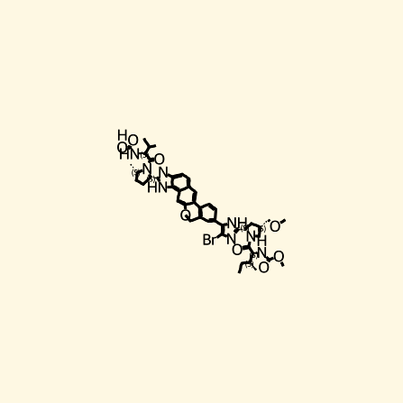 CC[C@H](C)[C@H](NC(=O)OC)C(=O)N1C[C@@H](COC)C[C@H]1c1nc(Br)c(-c2ccc3c(c2)COc2cc4c(ccc5nc([C@@H]6CC[C@H](C)N6C(=O)[C@@H](NC(=O)O)C(C)C)[nH]c54)cc2-3)[nH]1